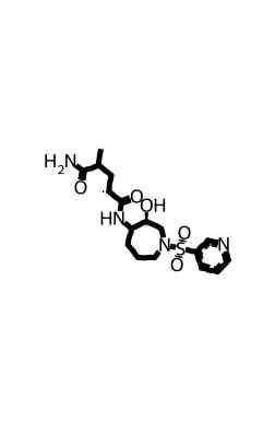 CC(C[CH]C(=O)NC1CCCN(S(=O)(=O)c2cccnc2)C[C@@H]1O)C(N)=O